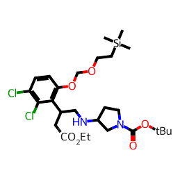 CCOC(=O)CC(CNC1CCN(C(=O)OC(C)(C)C)C1)c1c(OCOCC[Si](C)(C)C)ccc(Cl)c1Cl